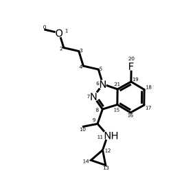 COCCCCn1nc(C(C)NC2CC2)c2cccc(F)c21